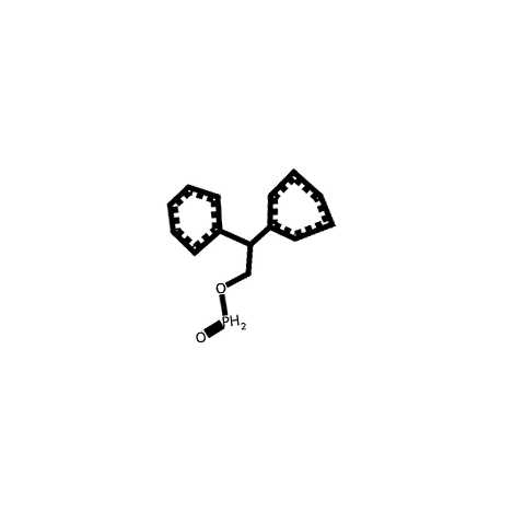 O=[PH2]OCC(c1ccccc1)c1ccccc1